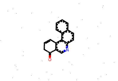 O=C1CC=Cc2c1cnc1ccc3ccccc3c21